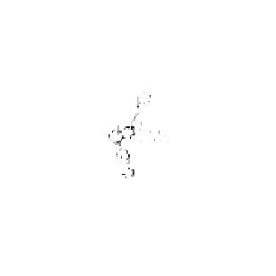 COc1cc2c(C3CCN(C4CCOC4)CC3)nc(C)nc2cc1OCCCN1CCCC1